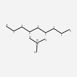 CCCCCCCCC.CN(C)C